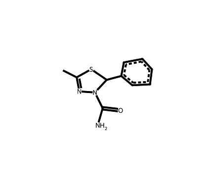 CC1=NN(C(N)=O)C(c2ccccc2)S1